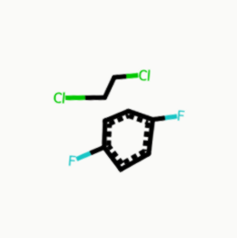 ClCCCl.Fc1ccc(F)cc1